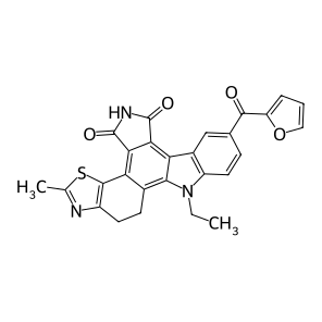 CCn1c2ccc(C(=O)c3ccco3)cc2c2c3c(c4c(c21)CCc1nc(C)sc1-4)C(=O)NC3=O